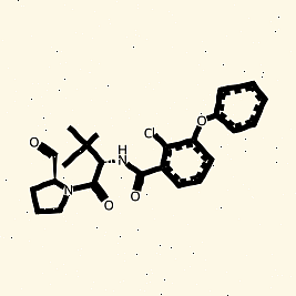 CC(C)(C)[C@H](NC(=O)c1cccc(Oc2ccccc2)c1Cl)C(=O)N1CCC[C@H]1C=O